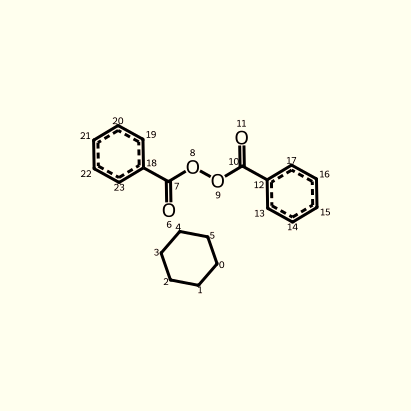 C1CCCCC1.O=C(OOC(=O)c1ccccc1)c1ccccc1